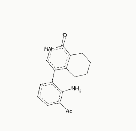 CC(=O)c1cccc(-c2c[nH]c(=O)c3c2CCCC3)c1N